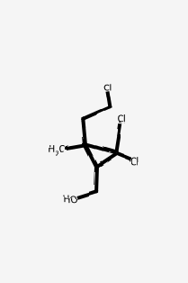 CC1(CCCl)C(CO)C1(Cl)Cl